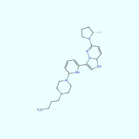 C[C@H]1CCCN1C1=NN2C(C3=CC=CC(N4CCN(CCCN)CC4)N3)=CNC2C=C1